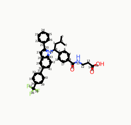 CC(C)CC(c1ccc(C(=O)NCCC(=O)O)cc1)n1c(-c2ccccc2)cc2cc(-c3ccc(C(F)(F)F)cc3)ccc21